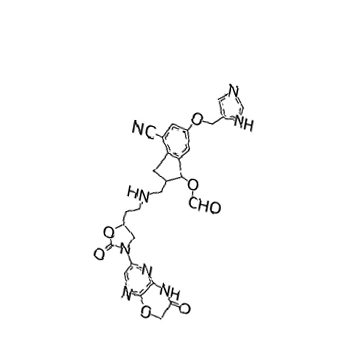 N#Cc1cc(OCc2cnc[nH]2)cc2c1CC(CNCCC1CN(c3cnc4c(n3)NC(=O)CO4)C(=O)O1)C2OC=O